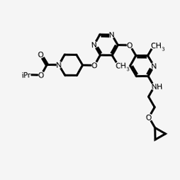 Cc1nc(NCCOC2CC2)ccc1Oc1ncnc(OC2CCN(C(=O)OC(C)C)CC2)c1C